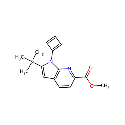 COC(=O)c1ccc2cc([Si](C)(C)C)n(C3=CC=C3)c2n1